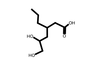 CCCC(CC(=O)O)CC(O)CO